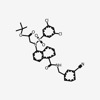 CC(C)(C)OC(=O)CN(c1cccc2c(C(=O)NCc3cccc(C#N)c3)cccc12)S(=O)(=O)c1cc(Cl)cc(Cl)c1